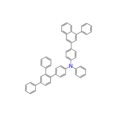 c1ccc(-c2ccc(-c3ccc(N(c4ccccc4)c4ccc(-c5cc(-c6ccccc6)c6ccccc6c5)cc4)cc3)c(-c3ccccc3)c2)cc1